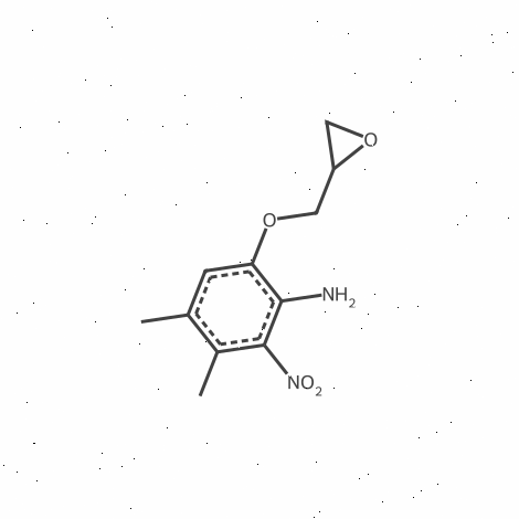 Cc1cc(OCC2CO2)c(N)c([N+](=O)[O-])c1C